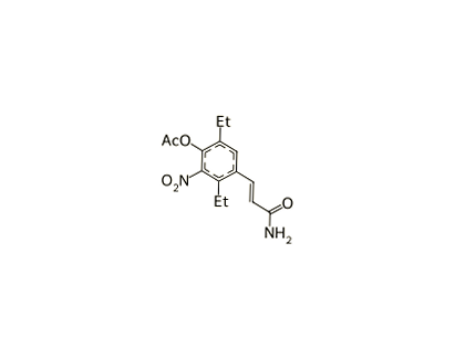 CCc1cc(C=CC(N)=O)c(CC)c([N+](=O)[O-])c1OC(C)=O